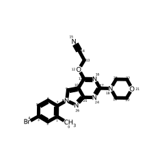 Cc1cc(Br)ccc1-n1cc2c(OCC#N)nc(N3CCOCC3)nc2n1